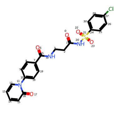 O=C(CCNC(=O)c1ccc(-n2ccccc2=O)cc1)NS(=O)(=O)c1ccc(Cl)cc1